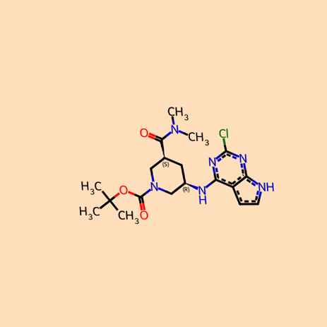 CN(C)C(=O)[C@H]1C[C@@H](Nc2nc(Cl)nc3[nH]ccc23)CN(C(=O)OC(C)(C)C)C1